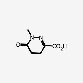 CN1N=C(C(=O)O)CCC1=O